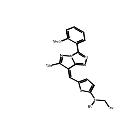 CCN(CC(C)C)c1ccc(/C=c2/c(C(C)(C)C)nn3c(-c4ccccc4OC)nnc23)s1